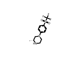 C[C@@H]1CN(c2ccc(S(=O)(=O)C(F)(F)F)cc2)CCN1